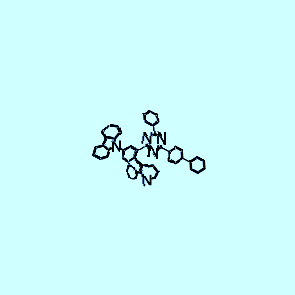 c1ccc(-c2ccc(-c3nc(-c4ccccc4)nc(-c4cc(-n5c6ccccc6c6ccccc65)cc5oc6ncccc6c45)n3)cc2)cc1